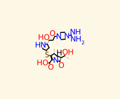 C[C@@H](O)[C@H]1C(=O)N2C(C(=O)O)=C(S[C@@H]3CN[C@H](C(O)CC(=O)N4CCN(C(=N)N)CC4)C3)[C@H](C)[C@H]12